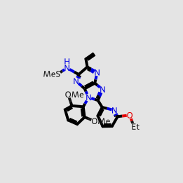 C=Cc1nc2nc(-c3cccc(OCC)n3)n(-c3c(OC)cccc3OC)c2nc1NSC